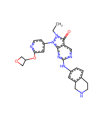 CCn1c(=O)c2cnc(Nc3ccc4c(c3)CNCC4)nc2n1-c1ccnc(OC2COC2)c1